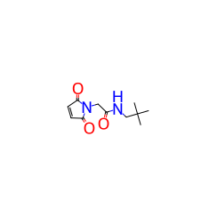 CC(C)(C)CNC(=O)CN1C(=O)C=CC1=O